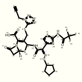 C#CCn1nnnc1SCC1=C(C(=O)O)N2C(=O)C[C@H]2SC1NC(=O)/C(=N\OC1CCCC1)c1csc(NC(=O)C(F)(F)F)n1